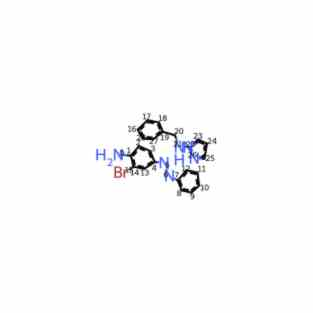 Nc1ccc(N=Nc2ccccc2)cc1Br.c1ccc(CNn2cccn2)cc1